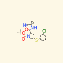 CC(C)(C)OC(=O)N1CC(Sc2cccc(Cl)c2)CC1C(=O)NC1(C#N)CC1